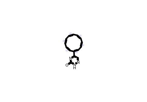 O=c1nc(C2=C/C=C\C=C/C=C\C=C/C=C\2)cn[nH]1